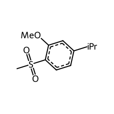 COc1cc(C(C)C)ccc1S(C)(=O)=O